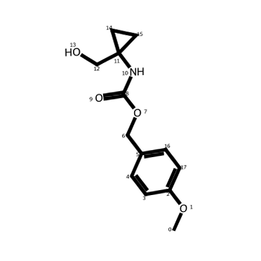 COc1ccc(COC(=O)NC2(CO)CC2)cc1